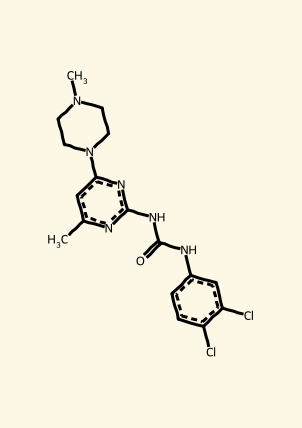 Cc1cc(N2CCN(C)CC2)nc(NC(=O)Nc2ccc(Cl)c(Cl)c2)n1